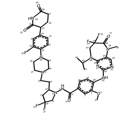 COc1cc(C(=O)NN2CC(F)(F)CC2CCN2CCN(c3ccc(C4CCC(=O)NC4=O)cc3F)CC2)ccc1Nc1ncc2c(n1)N(C(C)C)CC(F)(F)C(=O)N2C